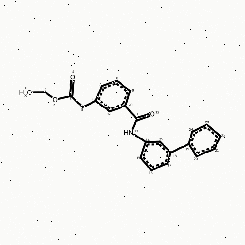 CCOC(=O)Cc1cccc(C(=O)Nc2cccc(-c3ccccc3)c2)c1